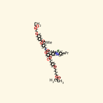 C=CC(=O)OCCCOc1ccc2cc(C(=O)Oc3ccc(/C=C/C(=O)Oc4ccc(OC(=O)CCc5ccc(OCCCCCCOC(=O)C(=C)C)cc5)c(-c5ccc(/N=N/c6ccc(CCC)cc6F)cc5)c4OC)cc3OC)ccc2c1